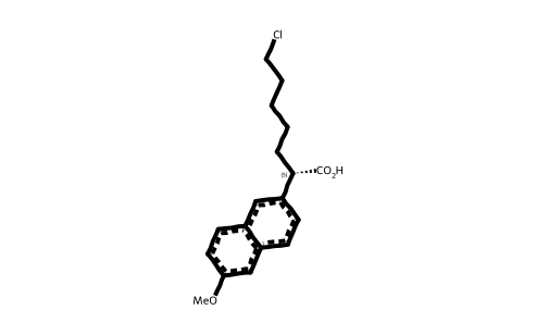 COc1ccc2cc([C@H](CCCCCCl)C(=O)O)ccc2c1